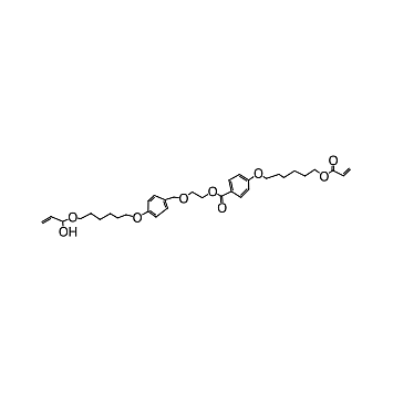 C=CC(=O)OCCCCCCOc1ccc(C(=O)OCCOCc2ccc(OCCCCCCOC(O)C=C)cc2)cc1